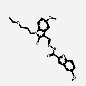 CCOCCCn1c(Cl)c(/C=N/NC(=O)c2cc3cc(OC)ccc3o2)c2cc(OC)ccc21